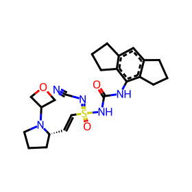 N#CN=S(=O)(/C=C/[C@@H]1CCCN1C1COC1)NC(=O)Nc1c2c(cc3c1CCC3)CCC2